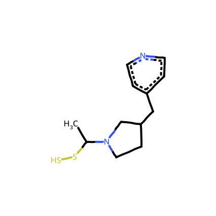 CC(SS)N1CCC(Cc2ccncc2)C1